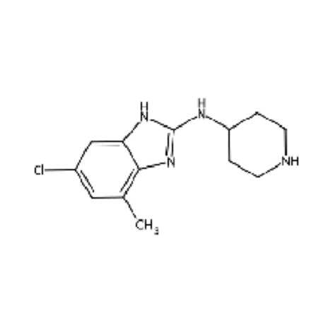 Cc1cc(Cl)cc2[nH]c(NC3CCNCC3)nc12